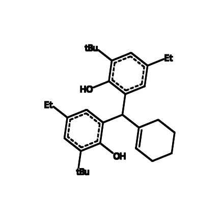 CCc1cc(C(C2=CCCCC2)c2cc(CC)cc(C(C)(C)C)c2O)c(O)c(C(C)(C)C)c1